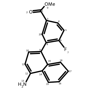 COC(=O)c1ccc(F)c(-c2ccc(N)c3ccccc23)c1